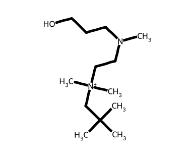 CN(CCCO)CC[N+](C)(C)CC(C)(C)C